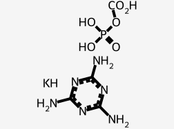 Nc1nc(N)nc(N)n1.O=C(O)OP(=O)(O)O.[KH]